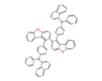 c1ccc(N(c2ccc(-c3c(-c4ccc5oc6ccccc6c5c4-c4ccc(N(c5ccccc5)c5cccc6ccccc56)cc4)ccc4oc5ccccc5c34)cc2)c2cccc3ccccc23)cc1